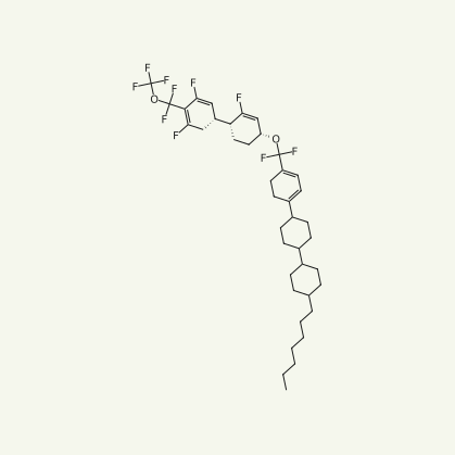 CCCCCCCC1CCC(C2CCC(C3=CC=C(C(F)(F)O[C@H]4C=C(F)[C@@H]([C@H]5C=C(F)C(C(F)(F)OC(F)(F)F)=C(F)C5)CC4)CC3)CC2)CC1